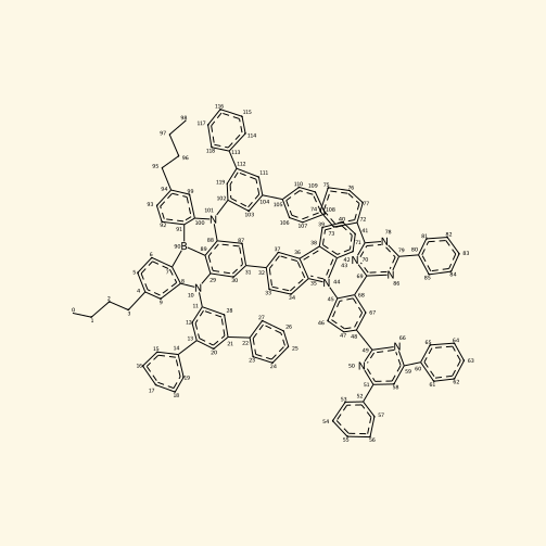 CCCCc1ccc2c(c1)N(c1cc(-c3ccccc3)cc(-c3ccccc3)c1)c1cc(-c3ccc4c(c3)c3ccccc3n4-c3ccc(-c4nc(-c5ccccc5)cc(-c5ccccc5)n4)cc3-c3nc(-c4ccccc4)nc(-c4ccccc4)n3)cc3c1B2c1ccc(CCCC)cc1N3c1cc(-c2ccccc2)cc(-c2ccccc2)c1